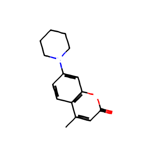 Cc1cc(=O)oc2cc(N3CCCCC3)ccc12